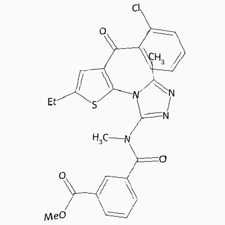 CCc1cc(C(=O)c2ccccc2Cl)c(-n2c(C)nnc2N(C)C(=O)c2cccc(C(=O)OC)c2)s1